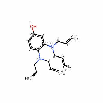 C=CCN(CC=C)c1ccc(O)cc1N(CC=C)CC=C